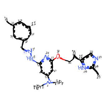 CCCN(CCC)c1cc(N/N=C/c2cccc(C)c2)nc(OCCc2cnc(C)[nH]2)c1